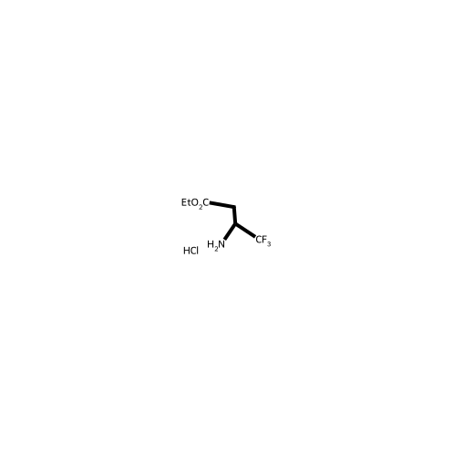 CCOC(=O)CC(N)C(F)(F)F.Cl